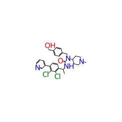 CC(NC(=O)N(Cc1ccc(CO)cc1)C1CCN(C)CC1)c1ccc(-c2cccnc2)c(Cl)c1Cl